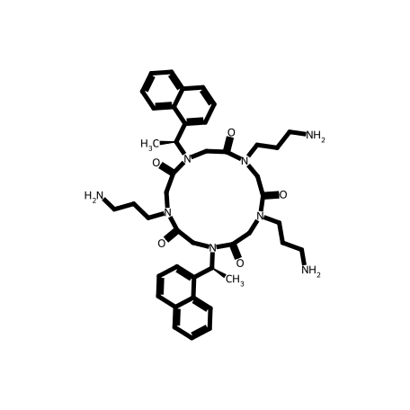 C[C@@H](c1cccc2ccccc12)N1CC(=O)N(CCCN)CC(=O)N([C@@H](C)c2cccc3ccccc23)CC(=O)N(CCCN)CC(=O)N(CCCN)CC1=O